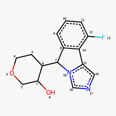 OC1COCCC1C1c2cccc(F)c2-c2cncn21